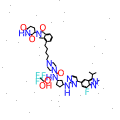 CC(C)c1c2cc(-c3ccnc(N[C@H]4CC[C@H](NC(=O)N5CCN(CCCCCc6cccc7c6CN(C6CCC(=O)NC6=O)C7=O)CC5)C4)n3)cc(F)c2nn1C.O=C(O)C(F)(F)F